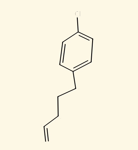 [CH]=CCCCc1ccc(Cl)cc1